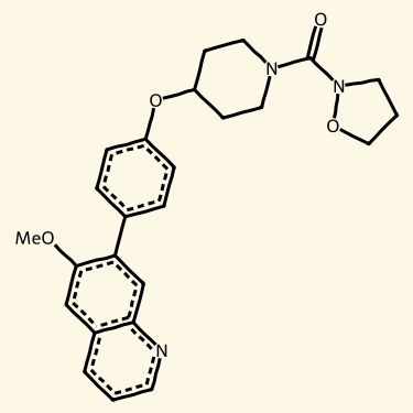 COc1cc2cccnc2cc1-c1ccc(OC2CCN(C(=O)N3CCCO3)CC2)cc1